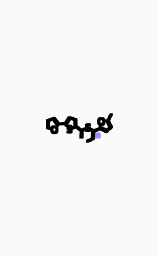 C=C(S/C(=C\C)c1ccc(C)o1)c1ccc(-c2ccco2)s1